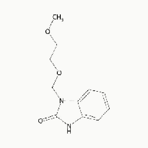 COCCOCn1c(=O)[nH]c2ccccc21